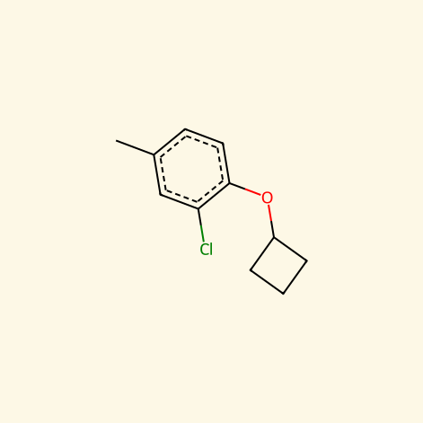 Cc1ccc(OC2CCC2)c(Cl)c1